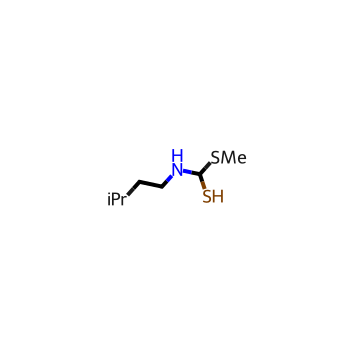 CSC(S)NCCC(C)C